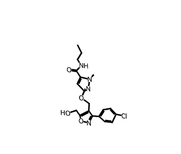 CCCNC(=O)c1cc(OCc2c(-c3ccc(Cl)cc3)noc2CO)nn1C